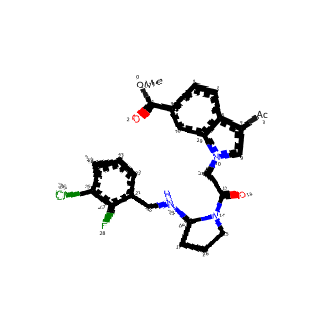 COC(=O)c1ccc2c(C(C)=O)cn(CC(=O)N3CCCC3NCc3cccc(Cl)c3F)c2c1